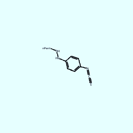 CCCCCNNc1ccc(N=C=S)cc1